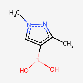 Cc1nn(C)cc1B(O)O